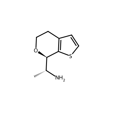 C[C@@H](N)[C@H]1OCCc2ccsc21